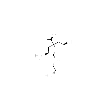 C=CCC(CC=C)(OCOCCC)C(C)=O